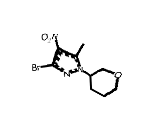 Cc1c([N+](=O)[O-])c(Br)nn1C1CCCOC1